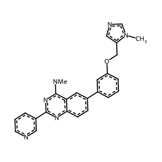 CNc1nc(-c2cccnc2)nc2ccc(-c3cccc(OCc4cncn4C)c3)cc12